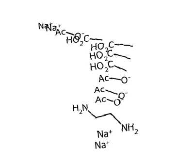 CC(=O)O.CC(=O)O.CC(=O)O.CC(=O)O.CC(=O)[O-].CC(=O)[O-].CC(=O)[O-].CC(=O)[O-].NCCN.[Na+].[Na+].[Na+].[Na+]